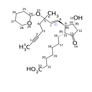 CC#CCCC(C)(/C=C/[C@H]1[C@H](O)CC(=O)[C@@H]1CCCCCCC(=O)O)OC1CCCCO1